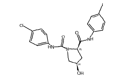 O=C(Nc1ccc(I)cc1)[C@H]1C[C@@H](O)CN1C(=O)Nc1ccc(Cl)cc1